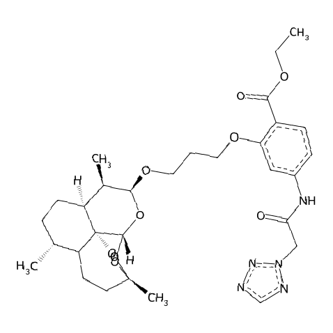 CCOC(=O)c1ccc(NC(=O)Cn2ncnn2)cc1OCCCO[C@H]1O[C@@H]2O[C@@]3(C)CCC4[C@H](C)CC[C@@H]([C@H]1C)[C@]42OO3